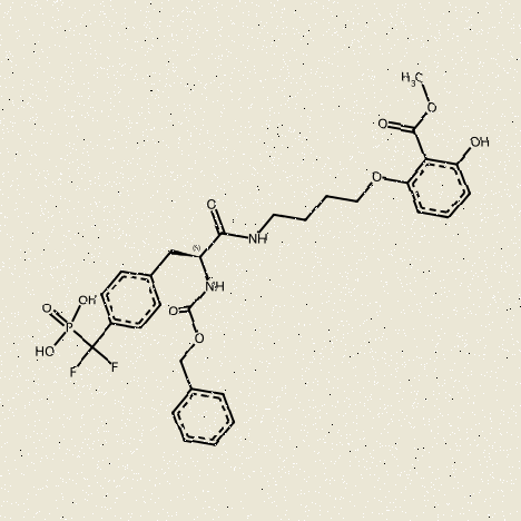 COC(=O)c1c(O)cccc1OCCCCNC(=O)[C@H](Cc1ccc(C(F)(F)P(=O)(O)O)cc1)NC(=O)OCc1ccccc1